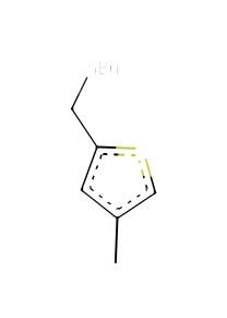 CCCCCc1cc(C)cs1